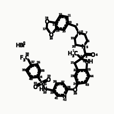 Br.CC1(C(=O)N2CCN(Cc3ccc4c(c3)OCO4)CC2)Cc2cc(Oc3ccc(NS(=O)(=O)c4ccc(C(F)(F)F)cc4)cn3)ccc2N1